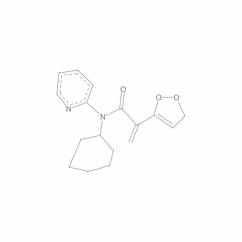 C=C(C(=O)N(c1ccccn1)C1CCCCC1)C1=CCOO1